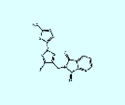 O=C1c2ccccc2C(=O)N1Cc1cn(-c2cnc(C(F)(F)F)s2)nc1Cl